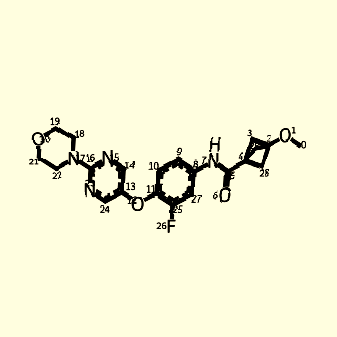 COC12CC(C(=O)Nc3ccc(Oc4cnc(N5CCOCC5)nc4)c(F)c3)(C1)C2